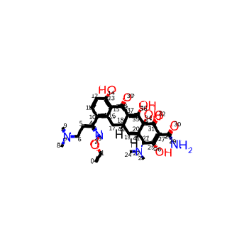 CCON=C(CCN(C)C)c1ccc(O)c2c1C[C@H]1C[C@H]3[C@@H](N(C)C)C(O)=C(C(N)=O)C(=O)[C@@]3(O)C(O)=C1C2=O